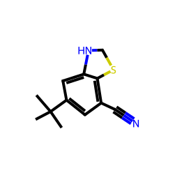 CC(C)(C)c1cc(C#N)c2c(c1)NCS2